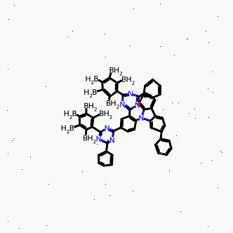 Bc1c(B)c(B)c(-c2nc(-c3ccccc3)nc(-c3ccc(-n4c5ccccc5c5ccc(-c6ccccc6)cc54)c(-c4nc(-c5ccccc5)nc(-c5c(B)c(B)c(B)c(B)c5B)n4)c3)n2)c(B)c1B